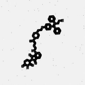 O=C1CCC(N2C(=O)c3cccc(NCCCC(=O)N4CCN(CCOc5ccc(C(=C(CCCl)c6ccccc6)c6ccccc6)cc5)CC4)c3C2=O)C(=O)N1